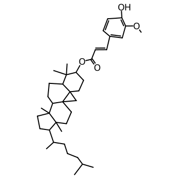 COc1cc(/C=C/C(=O)OC2CCC34CC35CCC3(C)C(C(C)CCCC(C)C)CCC3(C)C5CCC4C2(C)C)ccc1O